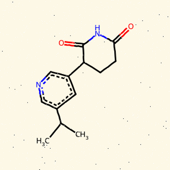 CC(C)c1cncc(C2CCC(=O)NC2=O)c1